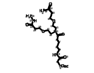 CCCCCCCCCCCC(=O)NCCCCC(=O)N(CCOCCC(=O)P)CCOCCC(=O)PP